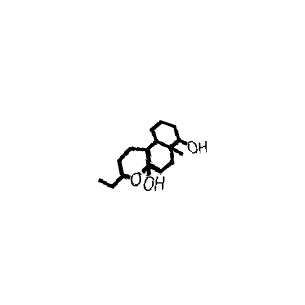 CCC1CCC2C3CCCC(O)C3(C)CCC2(O)O1